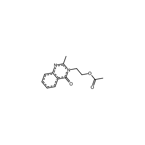 CC(=O)OCCn1c(C)nc2ccccc2c1=O